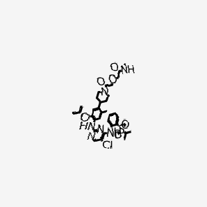 CNC(=O)COCC(=O)N1CCC(c2cc(OC(C)C)c(Nc3ncc(Cl)c(Nc4ccccc4S(=O)(=O)C(C)C)n3)cc2C)CC1